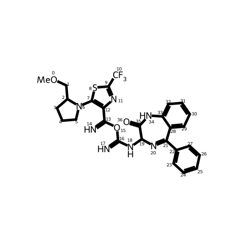 COCC1CCCN1c1sc(C(F)(F)F)nc1C(=N)OC(=N)NC1N=C(c2ccccc2)c2ccccc2NC1=O